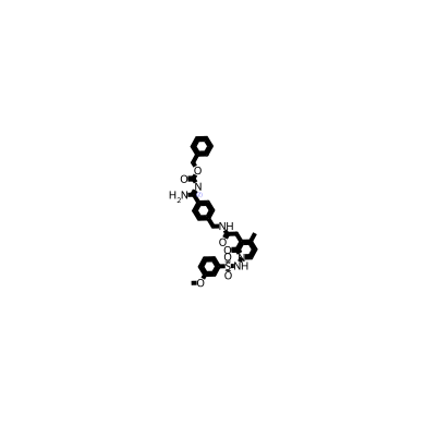 COc1cccc(S(=O)(=O)Nn2ccc(C)c(CC(=O)NCc3ccc(/C(N)=N/C(=O)OCc4ccccc4)cc3)c2=O)c1